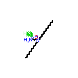 CCCCCCCCCCCCCCN(CCCCCCCCCCCC)C(=O)CC(N)N.Cl.Cl.Cl